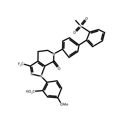 COc1ccc(-n2nc(C(F)(F)F)c3c2C(=O)N(c2ccc(-c4ccccc4S(C)(=O)=O)cc2)CC3)c(C(=O)O)c1